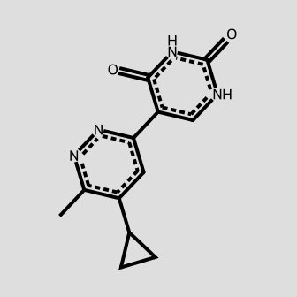 Cc1nnc(-c2c[nH]c(=O)[nH]c2=O)cc1C1CC1